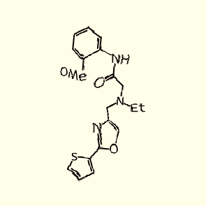 CCN(CC(=O)Nc1ccccc1OC)Cc1coc(-c2cccs2)n1